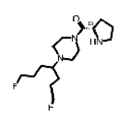 O=C([C@@H]1CCCN1)N1CCN(C(CCCF)CCCF)CC1